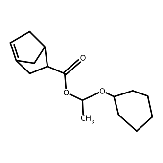 CC(OC(=O)C1CC2=CCC1C2)OC1CCCCC1